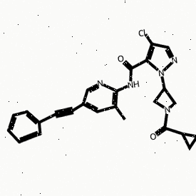 Cc1cc(C#Cc2ccccc2)cnc1NC(=O)c1c(Cl)cnn1C1CN(C(=O)C2CC2)C1